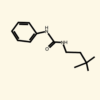 CC(C)(C)CCNC(=O)Nc1ccccc1